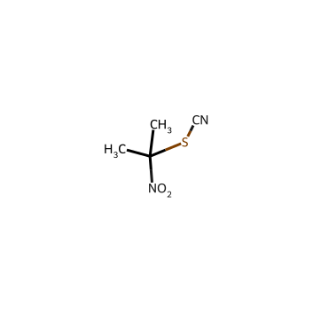 CC(C)(SC#N)[N+](=O)[O-]